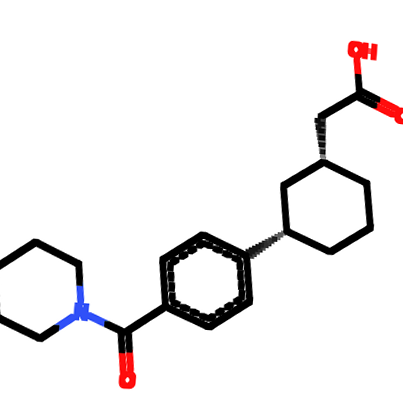 O=C(O)C[C@@H]1CCC[C@H](c2ccc(C(=O)N3CCCCC3)cc2)C1